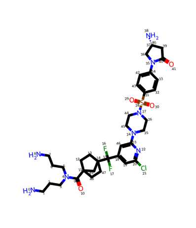 NCCCN(CCCN)C(=O)C12CCC(C(F)(F)c3cc(Cl)nc(N4CCN(S(=O)(=O)c5ccc(N6C[C@H](N)CC6=O)cc5)CC4)c3)(CC1)C2